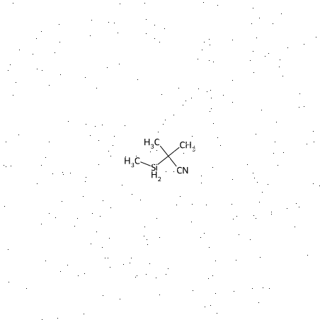 C[SiH2]C(C)(C)C#N